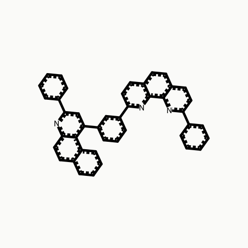 c1ccc(-c2cc(-c3cccc(-c4ccc5ccc6ccc(-c7ccccc7)nc6c5n4)c3)c3c(ccc4ccccc43)n2)cc1